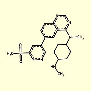 CNC1CCC(N(C)c2ncnc3ccc(-c4cncc(S(C)(=O)=O)c4)cc23)CC1